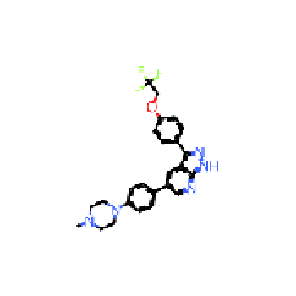 CN1CCN(c2ccc(-c3cnc4[nH]nc(-c5ccc(OCC(F)(F)F)cc5)c4c3)cc2)CC1